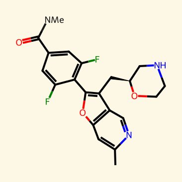 CNC(=O)c1cc(F)c(-c2oc3cc(C)ncc3c2C[C@H]2CNCCO2)c(F)c1